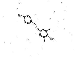 Cc1cc(OCc2ccc(Br)cc2)cc(C)c1N